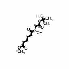 COC(=O)CCCCC(=O)N(O)CC(=O)OC(C)(C)C